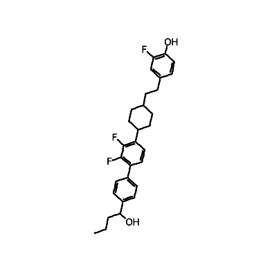 CCCC(O)c1ccc(-c2ccc(C3CCC(CCc4ccc(O)c(F)c4)CC3)c(F)c2F)cc1